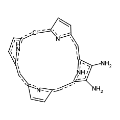 Nc1c(N)c2cc3nc(cc4ccc(cc5nc(cc1[nH]2)C=C5)[nH]4)C=C3